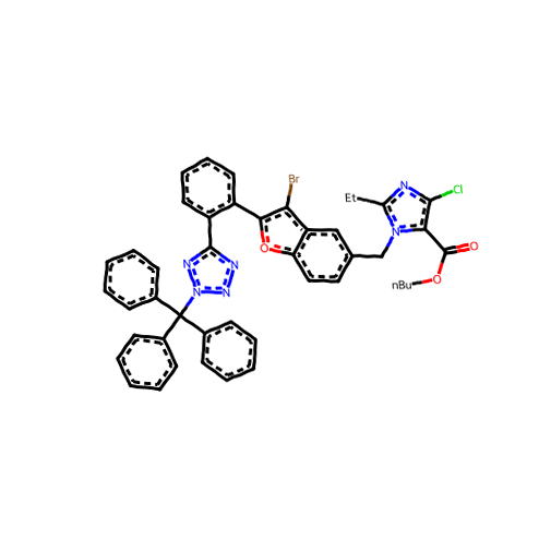 CCCCOC(=O)c1c(Cl)nc(CC)n1Cc1ccc2oc(-c3ccccc3-c3nnn(C(c4ccccc4)(c4ccccc4)c4ccccc4)n3)c(Br)c2c1